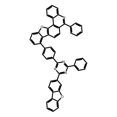 c1ccc(-c2nc(-c3ccc(-c4cccc5oc6c(ccc7c(-c8ccccc8)nc8ccccc8c76)c45)cc3)nc(-c3ccc4c(c3)oc3ccccc34)n2)cc1